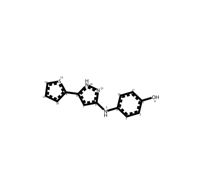 Oc1ccc(Nc2cc(-c3cccs3)[nH]n2)cc1